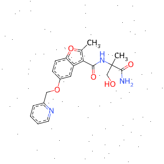 Cc1oc2ccc(OCc3ccccn3)cc2c1C(=O)NC(C)(CO)C(N)=O